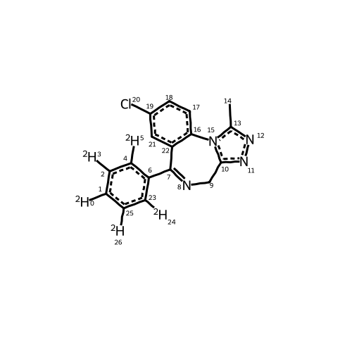 [2H]c1c([2H])c([2H])c(C2=NCc3nnc(C)n3-c3ccc(Cl)cc32)c([2H])c1[2H]